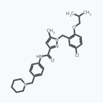 Cc1cc(C(=O)Nc2ccc(CN3CCCCC3)cc2)nn1Cc1cc(Cl)ccc1OCC(C)C